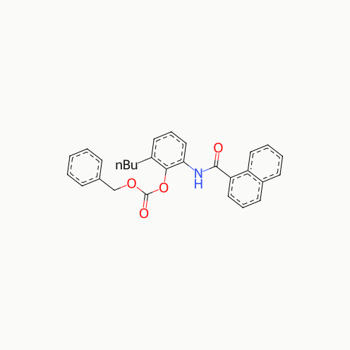 CCCCc1cccc(NC(=O)c2cccc3ccccc23)c1OC(=O)OCc1ccccc1